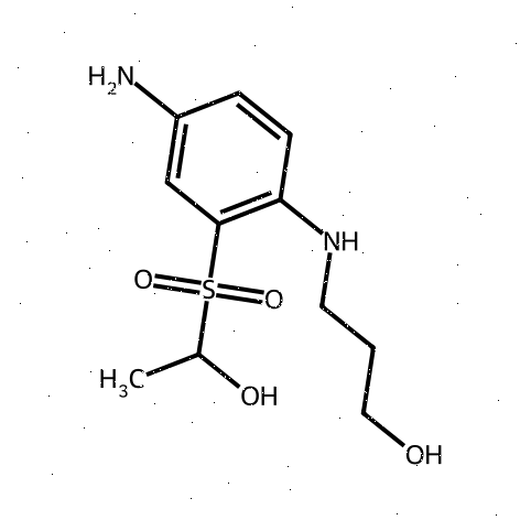 CC(O)S(=O)(=O)c1cc(N)ccc1NCCCO